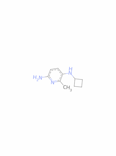 Cc1nc(N)ccc1NC1CCC1